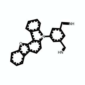 N=Cc1cc(C=N)cc(-n2c3ccccc3c3c4oc5ccccc5c4ccc32)c1